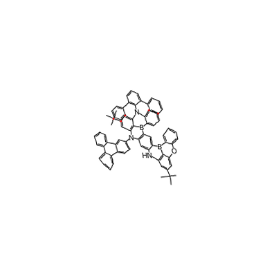 CC(C)(C)c1cc2c3c(c1)Oc1ccccc1B3c1cc3c(cc1N2)N(c1ccc2c4ccccc4c4ccccc4c2c1)c1cc(C(C)(C)C)cc2c1B3c1ccccc1N2c1c(-c2ccccc2)cccc1-c1ccccc1